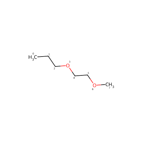 C[CH]COCCOC